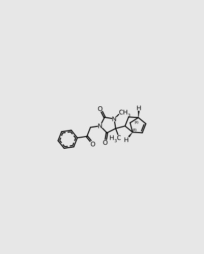 CN1C(=O)N(CC(=O)c2ccccc2)C(=O)C1(C)C1C[C@@H]2C=C[C@H]1C2